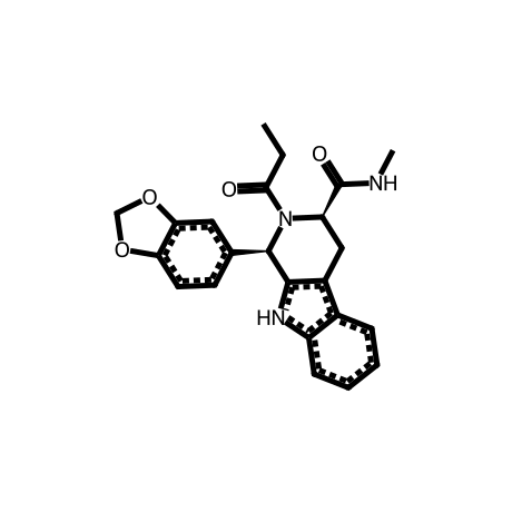 CCC(=O)N1[C@H](c2ccc3c(c2)OCO3)c2[nH]c3ccccc3c2C[C@@H]1C(=O)NC